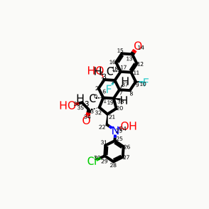 C[C@]12C[C@H](O)[C@@]3(F)[C@@H](C[C@H](F)C4=CC(=O)C=C[C@@]43C)[C@@H]1C[C@@H](CN(O)c1cccc(Cl)c1)[C@@H]2C(=O)CO